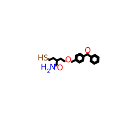 NC(=O)C(CCS)CCOCc1ccc(C(=O)c2ccccc2)cc1